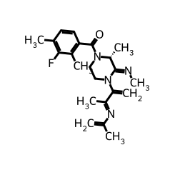 C=C(C)/N=C(\C)C(=C)N1CCN(C(=O)c2ccc(C)c(F)c2C)[C@H](C)/C1=N/C